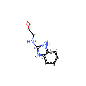 [O]CCNc1nc2ccccc2[nH]1